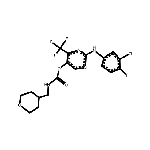 O=C(NCC1CCOCC1)Oc1cnc(Nc2ccc(F)c(Cl)c2)nc1C(F)(F)F